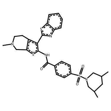 CC1CC(C)CN(S(=O)(=O)c2ccc(C(=O)Nc3sc4c(c3-c3nc5ccccc5s3)CCN(C)C4)cc2)C1